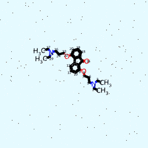 CCN(CC)CCCOc1cccc2c1C(=O)c1cccc(OCCCN(CC)CC)c1-2